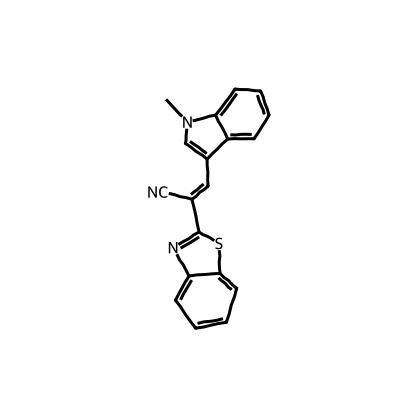 Cn1cc(/C=C(\C#N)c2nc3ccccc3s2)c2ccccc21